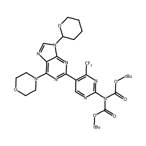 CC(C)(C)OC(=O)N(C(=O)OC(C)(C)C)c1ncc(-c2nc(N3CCOCC3)c3ncn(C4CCCCO4)c3n2)c(C(F)(F)F)n1